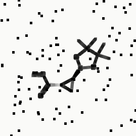 COC(=O)[C@H]1C[C@@H]1B1OC(C)(C)C(C)(C)O1